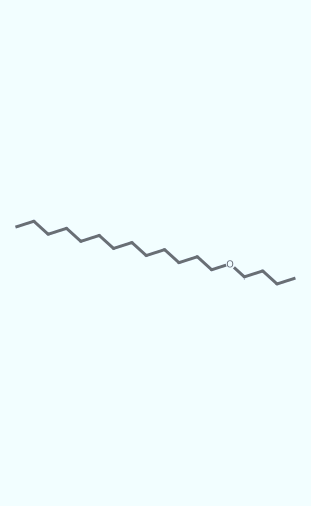 CCC[CH]OCCCCCCCCCCCCC